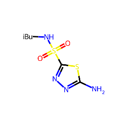 CCC(C)NS(=O)(=O)c1nnc(N)s1